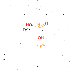 O=[PH](O)O.[P+3].[Te+2]